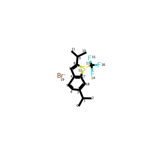 CC(C)c1ccc2cc(C(C)C)[s+](C(F)(F)F)c2c1.[Br-]